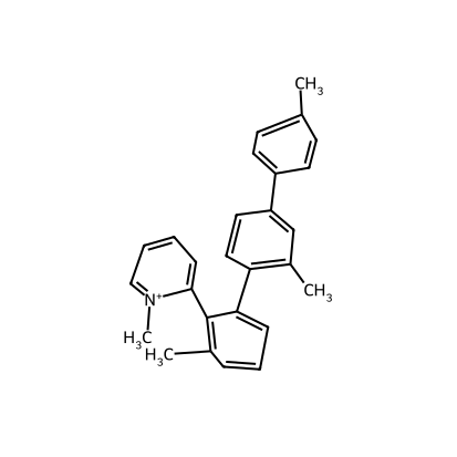 Cc1ccc(-c2ccc(-c3cccc(C)c3-c3cccc[n+]3C)c(C)c2)cc1